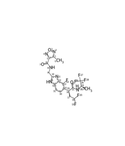 Cc1nonc1C(=O)NCc1nc2c(F)c([C@H](CC(F)F)C(=O)N[C@H](C)C(F)(F)F)ccc2[nH]1